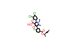 CC#CC(C)OC(=O)c1ccc(F)c(-c2c(C)n(CC)c(-c3ccc(Cl)c(Cl)c3)c(C(=O)O)c2=O)c1